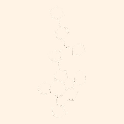 c1ccc(-c2ccc(N(c3ccccc3)c3cccc(-c4cc5c6c(c4)C4(CCCCC4)c4ccc7c8ccccc8n(c7c4-6)-c4ccccc4-5)c3)cc2)cc1